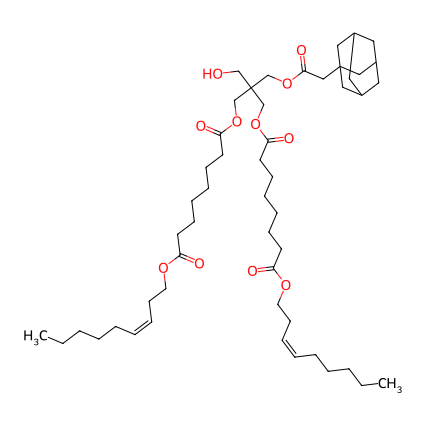 CCCCC/C=C\CCOC(=O)CCCCCCC(=O)OCC(CO)(COC(=O)CCCCCCC(=O)OCC/C=C\CCCCC)COC(=O)CC12CC3CC(CC(C3)C1)C2